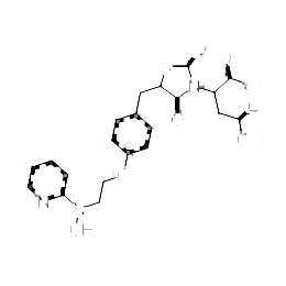 CN(CCOc1ccc(CC2SC(=O)N(C(CC(=O)O)C(=O)O)C2=O)cc1)c1ccccn1